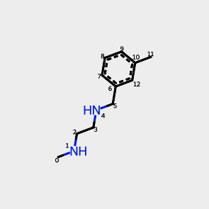 CNCCNCc1cccc(C)c1